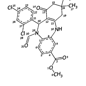 COC(=O)c1ccc2c(c1)NC1=C(C(=O)CC(C)(C)C1)C(c1ccc(Cl)cc1Cl)N2C=O